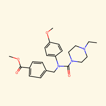 CCN1CCN(C(=O)N(Cc2ccc(C(=O)OC)cc2)c2ccc(OC)cc2)CC1